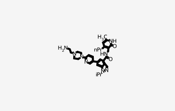 CCCc1cc(C)[nH]c(=O)c1CNC(=O)c1cc(-c2ccc(N3CCN(CCN)CC3)nc2)cc2c1cnn2C(C)C